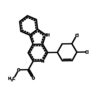 COC(=O)c1cc2c([nH]c3ccccc32)c(C2C=CC(Cl)C(Cl)C2)n1